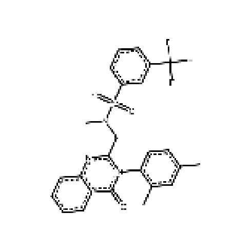 Cc1ccc(-n2c(CN(C)S(=O)(=O)c3cccc(C(F)(F)F)c3)nc3ccccc3c2=O)c(C)c1